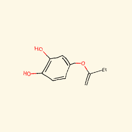 C=C(CC)Oc1ccc(O)c(O)c1